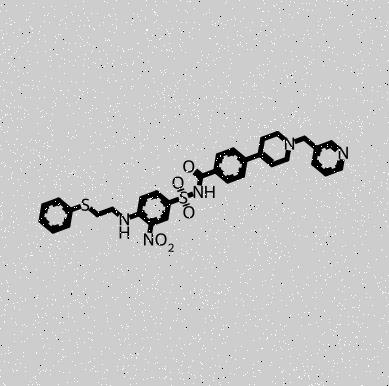 O=C(NS(=O)(=O)c1ccc(NCCSc2ccccc2)c([N+](=O)[O-])c1)c1ccc(C2=CCN(Cc3cccnc3)CC2)cc1